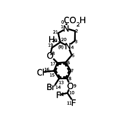 O=C(O)N1CCN2Cc3cc(OC(F)F)c(Br)c(Cl)c3OC[C@H]2C1